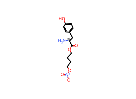 N[C@@H](Cc1ccc(O)cc1)C(=O)OCCCCO[N+](=O)[O-]